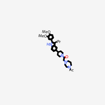 COc1ccc(-c2[nH]c3ccc(C4CCN(C(=O)CN5CCCN(C(C)=O)CC5)CC4)cc3c2C(C)C)cc1OC